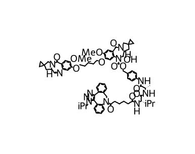 COc1cc2c(cc1OCCCCCOc1cc3c(cc1OC)C(=O)N1CC4(CC4)C[C@H]1[C@H](O)N3C(=O)OCc1ccc(NC(=O)[C@H](C)NC(=O)[C@@H](NC(=O)CCCCC(=O)N3Cc4ccccc4-c4nnn(C(C)C)c4-c4ccccc43)C(C)C)cc1)N=C[C@@H]1CC3(CC3)CN1C2=O